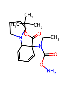 CCN(C(=O)ON)C1(C(=O)OC(C)(C)C)C=CC=CC1N1CCCC1